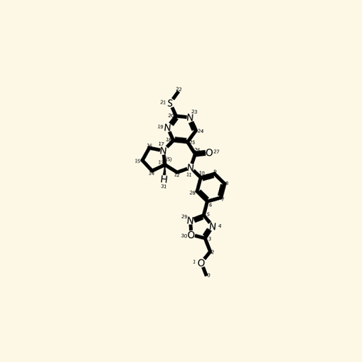 COCc1nc(-c2cccc(N3C[C@@H]4CCCN4c4nc(SC)ncc4C3=O)c2)no1